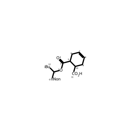 CCCCCCCCCC(OC(=O)C1CC=CCC1C(=O)O)C(C)CC